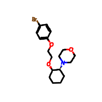 Brc1ccc(OCCO[C@@H]2CCCC[C@H]2N2CCOCC2)cc1